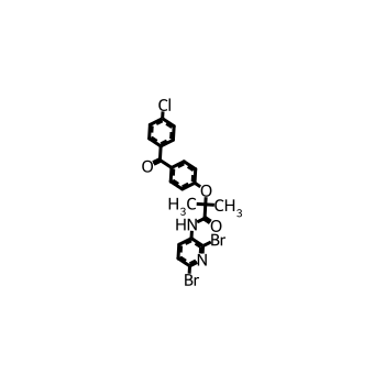 CC(C)(Oc1ccc(C(=O)c2ccc(Cl)cc2)cc1)C(=O)Nc1ccc(Br)nc1Br